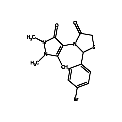 Cc1c(N2C(=O)CSC2c2ccc(Br)cc2)c(=O)n(C)n1C